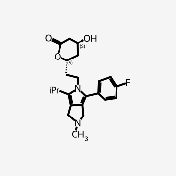 CC(C)c1c2c(c(-c3ccc(F)cc3)n1CC[C@H]1C[C@H](O)CC(=O)O1)CN(C)C2